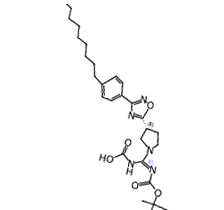 CCCCCCCCCc1ccc(-c2noc([C@@H]3CCN(/C(=N/C(=O)OC(C)(C)C)NC(=O)O)C3)n2)cc1